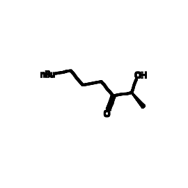 CCCCCCCC(=O)[C@H](C)O